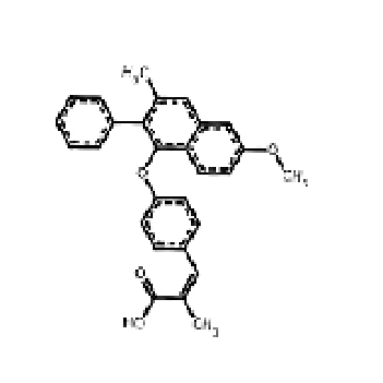 COc1ccc2c(Oc3ccc(C=C(C)C(=O)O)cc3)c(-c3ccccc3)c(C)cc2c1